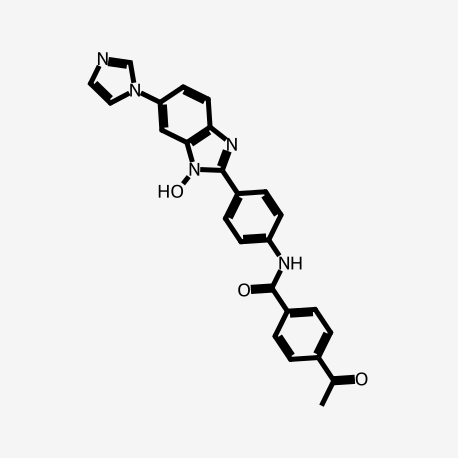 CC(=O)c1ccc(C(=O)Nc2ccc(-c3nc4ccc(-n5ccnc5)cc4n3O)cc2)cc1